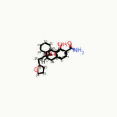 NC(=O)c1ccc2c(c1O)[C@@]13CCCC[C@@]1(O)[C@@H](C2)C(CC1CCCO1)CC3